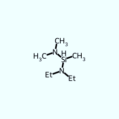 CCN(CC)[SiH](C)N(C)C